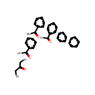 CC(C)(C)C(=O)c1ccccc1.CC(C)CC(=O)CC(C)C.CCC(=O)c1ccccc1.CCCC(=O)c1ccccc1.c1ccccc1.c1ccccc1